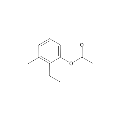 CCc1c(C)cccc1OC(C)=O